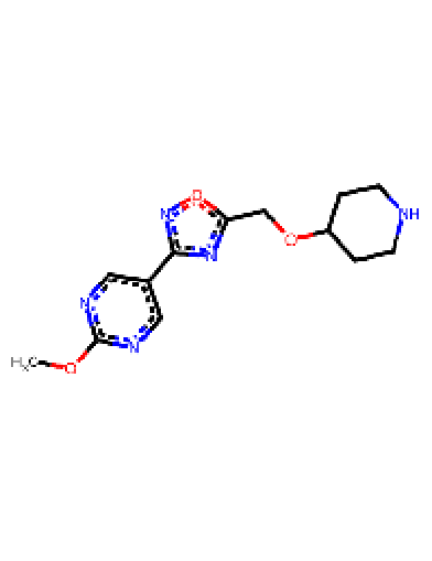 COc1ncc(-c2noc(COC3CCNCC3)n2)cn1